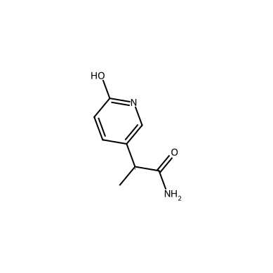 C[C](C(N)=O)c1ccc(O)nc1